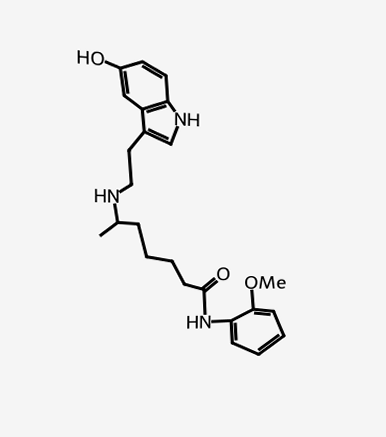 COc1ccccc1NC(=O)CCCCC(C)NCCc1c[nH]c2ccc(O)cc12